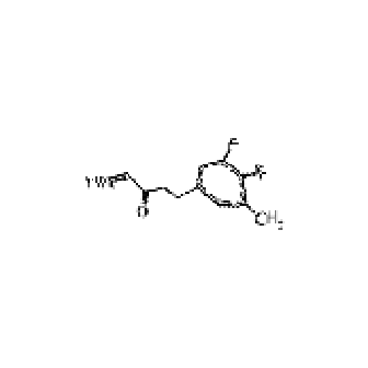 Cc1cc(CCC(=O)C=N)cc(F)c1F